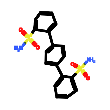 NS(=O)(=O)c1ccccc1-c1ccc(-c2ccccc2S(N)(=O)=O)cc1